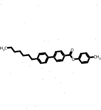 CCCCCCCc1ccc(-c2ccc(C(=O)Oc3ccc(C)cc3)cc2)cc1